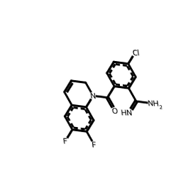 N=C(N)c1cc(Cl)ccc1C(=O)N1CC=Cc2cc(F)c(F)cc21